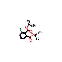 CCCC(CC)OC(=O)c1cccc(F)c1C(=O)OC(CC)CCC